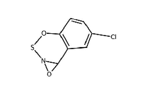 Clc1ccc2c(c1)C1ON1SO2